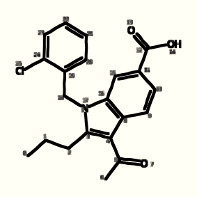 CCCc1c(C(C)=O)c2ccc(C(=O)O)cc2n1Cc1ccccc1Cl